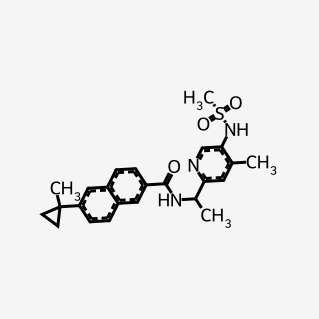 Cc1cc(C(C)NC(=O)c2ccc3cc(C4(C)CC4)ccc3c2)ncc1NS(C)(=O)=O